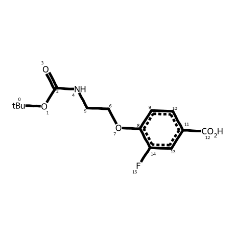 CC(C)(C)OC(=O)NCCOc1ccc(C(=O)O)cc1F